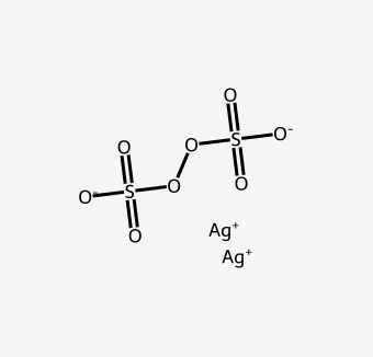 O=S(=O)([O-])OOS(=O)(=O)[O-].[Ag+].[Ag+]